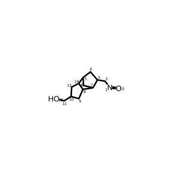 O=NCC1CC2CC1C1CC(CO)CC21